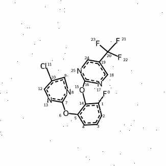 Fc1cccc(Oc2ncc(Cl)cn2)c1Oc1ncc(C(F)(F)F)cn1